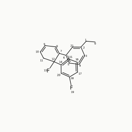 CCc1cccc(C2=CC=CCC2(F)c2cccc(F)c2)c1